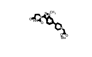 Cn1nc(N2CCC(=O)NC2=O)c2ccc(C3CCN(CC(=O)OC(C)(C)C)CC3)cc21